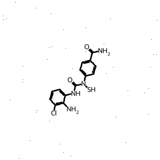 NC(=O)c1ccc(N(S)C(=O)Nc2cccc(Cl)c2N)cc1